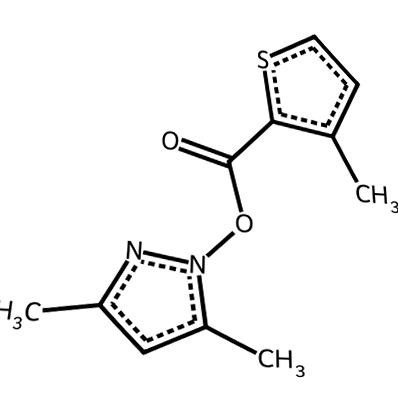 Cc1cc(C)n(OC(=O)c2sccc2C)n1